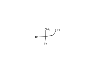 CCC(Br)(CO)[N+](=O)[O-]